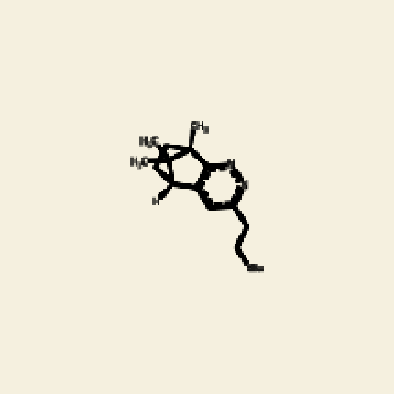 CC(C)(C)CCc1cc2c(nn1)[C@@]1(C)CC[C@@H]2C1(C)C